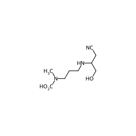 CN(CCCNC(CO)CC#N)C(=O)O